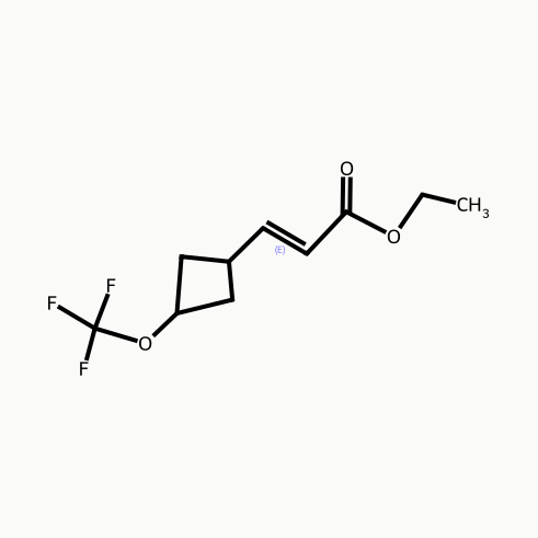 CCOC(=O)/C=C/C1CC(OC(F)(F)F)C1